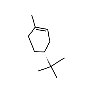 CC1=CC[C@H](C(C)(C)C)CC1